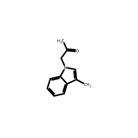 [CH2]c1cn(CC(C)=O)c2ccccc12